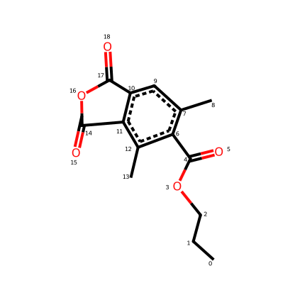 CCCOC(=O)c1c(C)cc2c(c1C)C(=O)OC2=O